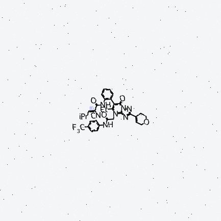 CCc1c(-c2ccccc2NC(=O)/C(C#N)=C/C(C)C)c(=O)n2nc(C3=CCOCC3)nc2n1CC(=O)Nc1ccc(C(F)(F)F)cc1